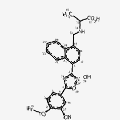 CC(C)Oc1ccc(-c2nc(-c3ccc(CNC(C)C(=O)O)c4ccccc34)no2)cc1C#N.Cl